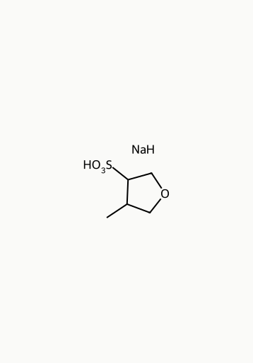 CC1COCC1S(=O)(=O)O.[NaH]